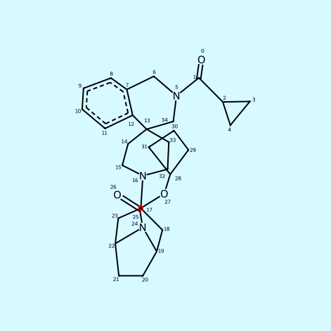 O=C(C1CC1)N1Cc2ccccc2C2(CCN(C3CC4CCC(C3)N4C(=O)OC3CCC3)CC2)C1